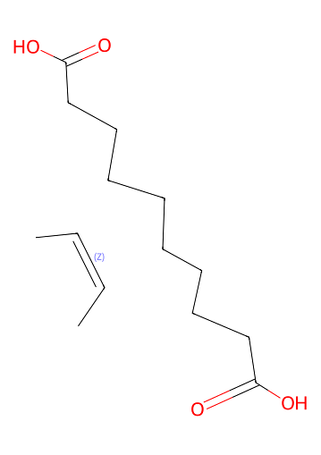 C/C=C\C.O=C(O)CCCCCCCCC(=O)O